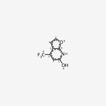 Oc1cc(C(F)(F)F)c2ccoc2n1